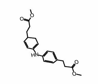 COC(=O)CCc1ccc(NC2=CCC(CCC(=O)OC)C=C2)cc1